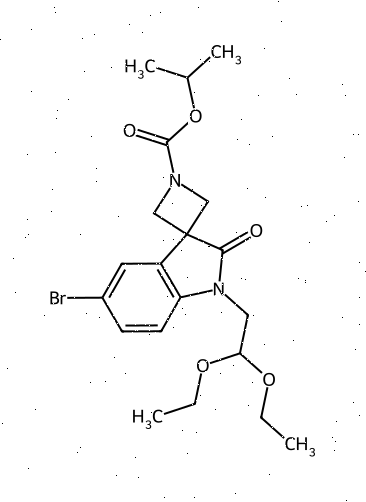 CCOC(CN1C(=O)C2(CN(C(=O)OC(C)C)C2)c2cc(Br)ccc21)OCC